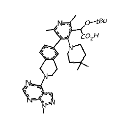 Cc1nc(C)c(C(OC(C)(C)C)C(=O)O)c(N2CCC(C)(C)CC2)c1-c1ccc2c(c1)CCN(c1ncnc3c1cnn3C)C2